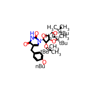 CCCCOc1ccc(Cc2cn([C@@H]3O[C@H](CO[Si](C)(C)C(C)(C)C)[C@@H](O[Si](C)(C)C(C)(C)C)[C@H]3O[Si](C)(C)C(C)(C)C)c(=O)[nH]c2=O)cc1